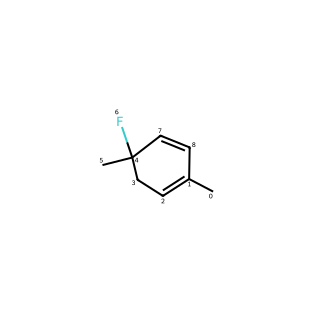 CC1=CCC(C)(F)C=C1